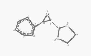 c1ccc([C@H]2O[C@@H]2C2OCCO2)cc1